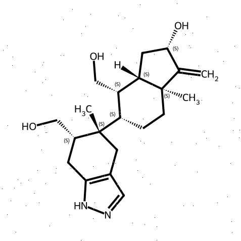 C=C1[C@@H](O)C[C@H]2[C@@H](CO)[C@@H]([C@]3(C)Cc4cn[nH]c4C[C@@H]3CO)CC[C@]12C